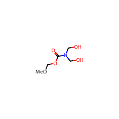 COCOC(=O)N(CO)CO